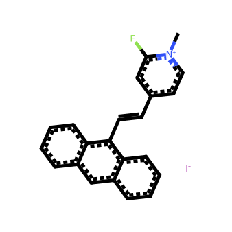 C[n+]1ccc(C=Cc2c3ccccc3cc3ccccc23)cc1F.[I-]